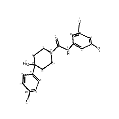 O=C(Nc1cc(Cl)cc(Cl)c1)N1CCC(O)(c2ccc(Cl)cc2)CC1